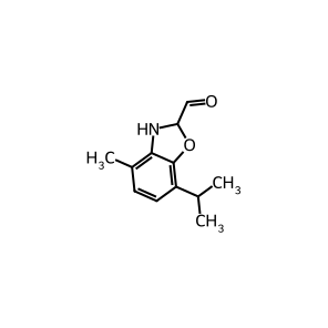 Cc1ccc(C(C)C)c2c1NC(C=O)O2